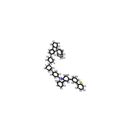 c1cc(-c2ccc(-c3ccc4c(c3)C3(c5ccccc5-4)C4CC5CC(C4)CC3C5)cc2)cc(-c2ccc(-n3c4ccccc4c4cc(-c5ccc6sc7ccccc7c6c5)ccc43)cc2)c1